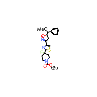 COC(c1ccccc1)C1CC(c2csc(C3(F)CCN(C(=O)OC(C)(C)C)CC3)n2)=NO1